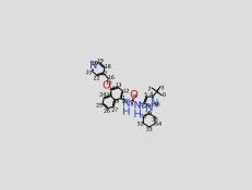 CC(C)(C)c1cc(NC(=O)Nc2ccc(OCc3ccncc3)c3ccccc23)n(C2CCCCC2)n1